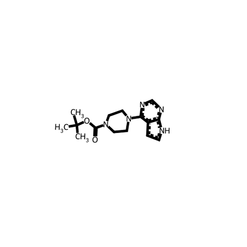 CC(C)(C)OC(=O)N1CCN(c2ncnc3[nH]ccc23)CC1